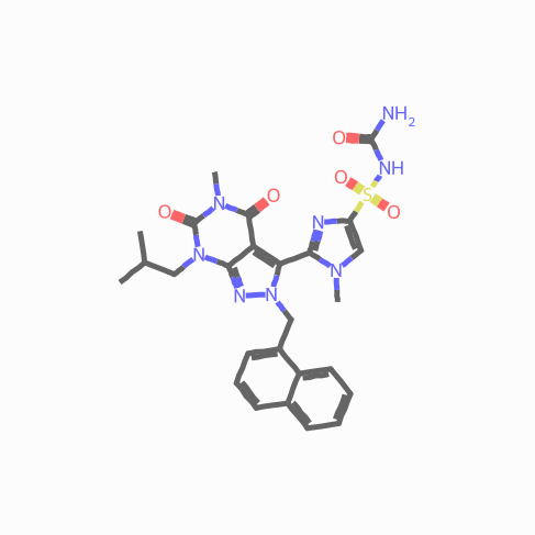 CC(C)Cn1c(=O)n(C)c(=O)c2c(-c3nc(S(=O)(=O)NC(N)=O)cn3C)n(Cc3cccc4ccccc34)nc21